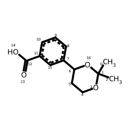 CC1(C)OCCC(c2cccc(C(=O)O)c2)O1